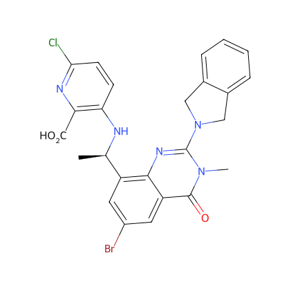 C[C@@H](Nc1ccc(Cl)nc1C(=O)O)c1cc(Br)cc2c(=O)n(C)c(N3Cc4ccccc4C3)nc12